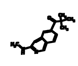 CNc1cc2cc(C(=O)C(C)(C)C)ccc2cn1